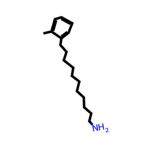 Cc1ccccc1CCCCCCCCCCCN